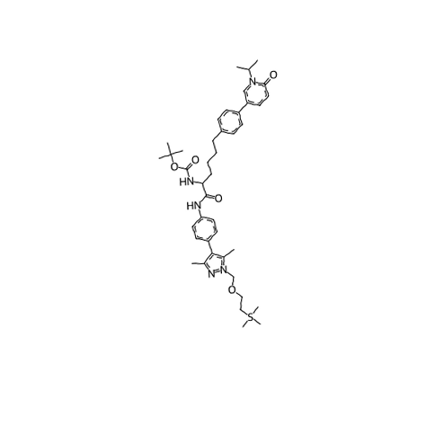 Cc1nn(COCCS(C)(C)C)c(C)c1-c1ccc(NC(=O)C(CCCCc2ccc(-c3ccc(=O)n(C(C)C)c3)cc2)NC(=O)OC(C)(C)C)cc1